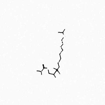 C=C(NCC(C)C(C)(C)CCCCCCCCNC(C)C)C(C)C